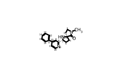 CN1CC[C@@]2(CC[C@H](c3cc(-c4ccccc4)ccn3)N2)C1=O